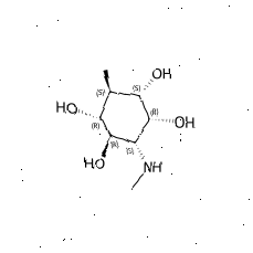 CN[C@@H]1[C@@H](O)[C@H](O)[C@@H](C)[C@H](O)[C@@H]1O